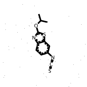 CC(C)Oc1nc2ccc(N=C=S)cc2s1